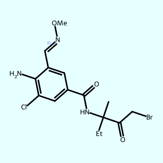 CCC(C)(NC(=O)c1cc(Cl)c(N)c(/C=N/OC)c1)C(=O)CBr